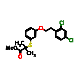 COC(=O)C(C)(C)Sc1cccc(OCCc2ccc(Cl)cc2Cl)c1